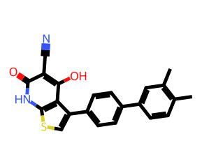 Cc1ccc(-c2ccc(-c3csc4[nH]c(=O)c(C#N)c(O)c34)cc2)cc1C